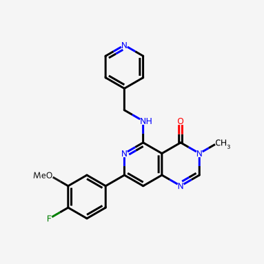 COc1cc(-c2cc3ncn(C)c(=O)c3c(NCc3ccncc3)n2)ccc1F